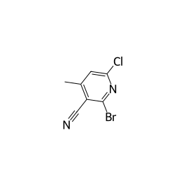 Cc1cc(Cl)nc(Br)c1C#N